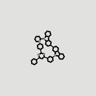 c1ccc(-c2cc(-c3cccc(-n4c5ccccc5c5ccc(-c6ccc7c(c6)c6ccccc6n7-c6ccccn6)cc54)c3)nc(-c3ccccc3)n2)cc1